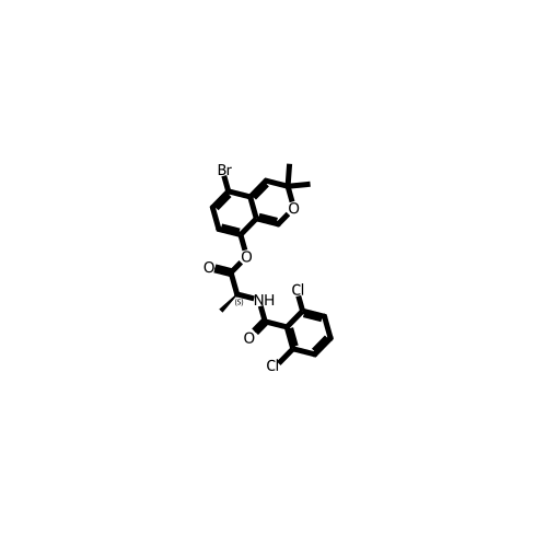 C[C@H](NC(=O)c1c(Cl)cccc1Cl)C(=O)Oc1ccc(Br)c2c1=COC(C)(C)C=2